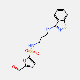 O=Cc1ccc(S(=O)(=O)NCCCNc2nsc3ccccc23)o1